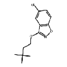 CC(C)(C)CCOc1noc2ccc(Cl)cc12